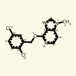 Cn1cnc2c(OCc3cc(Cl)ccc3Cl)nccc21